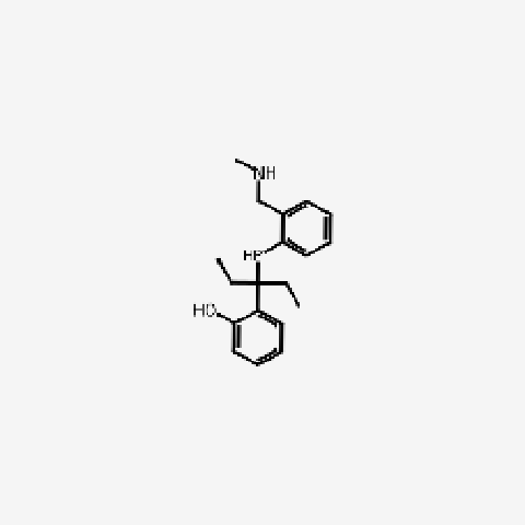 CCC(CC)(Pc1ccccc1CNC)c1ccccc1O